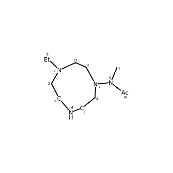 CCN1CCNCCN(N(C)C(C)=O)CC1